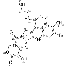 Cc1c(F)cc2nc3c(c4c2c1CCC4NCCO)Cn1c-3cc2c(c1=O)COC(=O)C2O